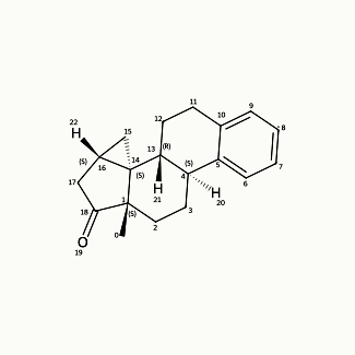 C[C@]12CC[C@@H]3c4cc[c]cc4CC[C@H]3[C@@]13C[C@H]3CC2=O